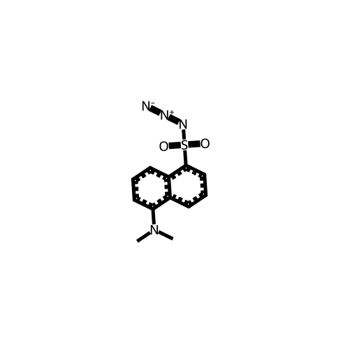 CN(C)c1cccc2c(S(=O)(=O)N=[N+]=[N-])cccc12